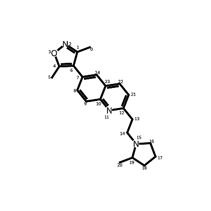 Cc1noc(C)c1-c1ccc2nc(CCN3CCCC3C)ccc2c1